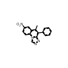 Cc1c(-c2ccccc2)c2nncn2c2ccc([N+](=O)[O-])cc12